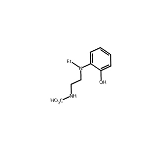 CCN(CCNC(=O)O)c1ccccc1O